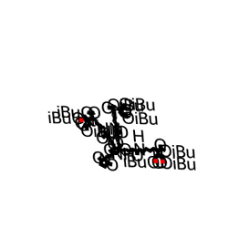 CC(C)COC(=O)CN(CC(=O)OCC(C)C)C(CCCCNC(=O)CCOCC(COCCC(=O)NCCCCC(C(=O)OCC(C)C)N(CC(=O)OCC(C)C)CC(=O)OCC(C)C)(COCCC(=O)NCCCCC(C(=O)OCC(C)C)N(CC(=O)OCC(C)C)CC(=O)OCC(C)C)NC(=O)CCN1C(=O)C=CC1=O)C(=O)OCC(C)C